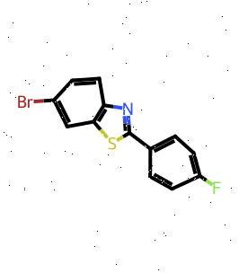 Fc1ccc(-c2nc3ccc(Br)cc3s2)cc1